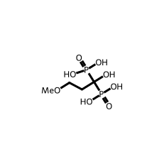 COCCC(O)(P(=O)(O)O)P(=O)(O)O